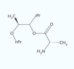 CCCO[C@@H](C)C(OC(=O)[C@H](C)N)C(C)C